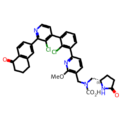 COc1nc(-c2cccc(-c3ccnc(-c4ccc5c(c4)CCCC5=O)c3Cl)c2Cl)ccc1CN(C[C@@H]1CCC(=O)N1)C(=O)O